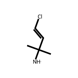 CC(C)([NH])C=CCl